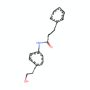 O=C(CCc1ccccc1)Nc1ccc(CCO)cc1